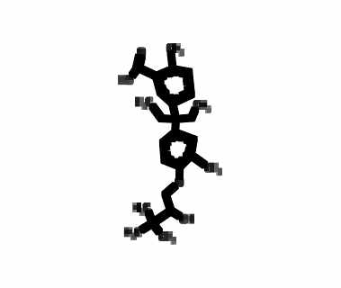 CCC(CC)(c1ccc(OCC(O)C(C)(C)C)c(C)c1)c1ccc(C)c(C(=O)O)c1